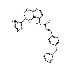 O=C(C=Cc1ccc(Cc2ccccc2)cc1)Nc1cccc2c1OC(c1nnn[nH]1)CO2